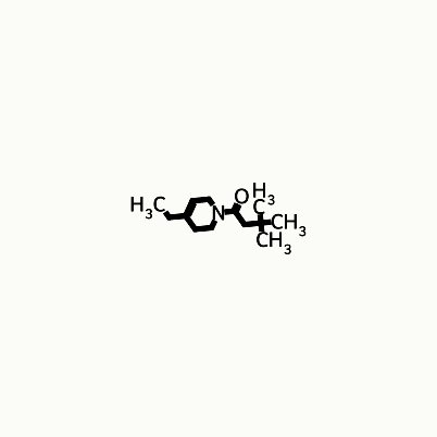 CCC1=CCN(C(=O)CC(C)(C)C)CC1